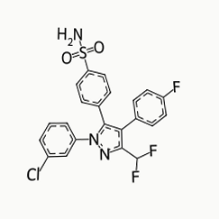 NS(=O)(=O)c1ccc(-c2c(-c3ccc(F)cc3)c(C(F)F)nn2-c2cccc(Cl)c2)cc1